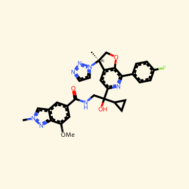 COc1cc(C(=O)NCC(O)(c2cc3c(c(-c4ccc(F)cc4)n2)OC[C@]3(C)n2ccnn2)C2CC2)cc2cn(C)nc12